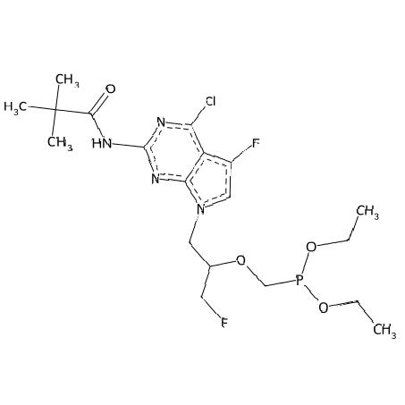 CCOP(COC(CF)Cn1cc(F)c2c(Cl)nc(NC(=O)C(C)(C)C)nc21)OCC